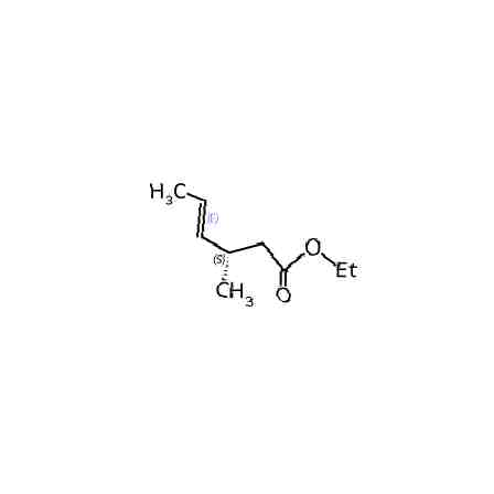 C/C=C/[C@@H](C)CC(=O)OCC